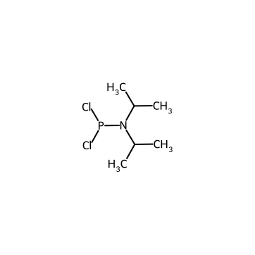 CC(C)N(C(C)C)P(Cl)Cl